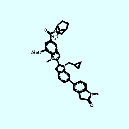 COc1cc(C(=O)N2CC3CCC2C3N)cc2nc(-c3cc4ccc(-c5ccc6c(c5)CC(=O)N6C)cc4n3CC3CC3)n(C)c12